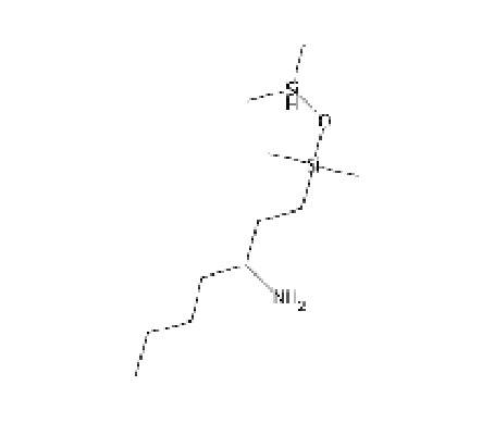 CCCCC(N)CC[Si](C)(C)O[SiH](C)C